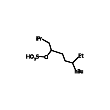 CCCCC(CC)CCC(CC(C)C)OS(=O)(=O)O